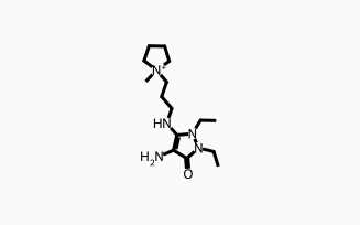 CCn1c(NCCC[N+]2(C)CCCC2)c(N)c(=O)n1CC